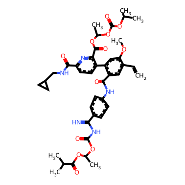 C=Cc1cc(C(=O)Nc2ccc(C(=N)NC(=O)OC(C)OC(=O)C(C)C)cc2)c(-c2ccc(C(=O)NCC3CC3)nc2C(=O)OC(C)OC(=O)OC(C)C)cc1OC